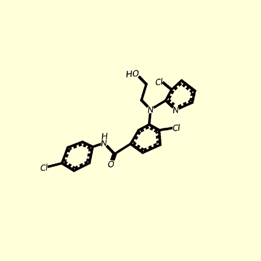 O=C(Nc1ccc(Cl)cc1)c1ccc(Cl)c(N(CCO)c2ncccc2Cl)c1